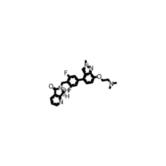 [2H]C1([2H])c2ncccc2C(=O)N1Cc1c(F)cc(-c2ccc(OCCN(C)C)c3nn(C)cc23)cc1F